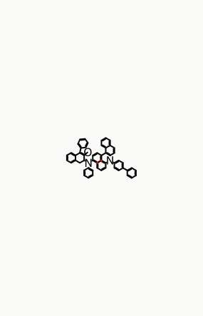 c1ccc(-c2ccc(N(c3ccccc3)c3ccc4ccccc4c3-c3ccc(N(c4ccccc4)C4Cc5ccccc5-c5c4oc4ccccc54)cc3)cc2)cc1